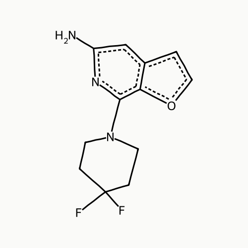 Nc1cc2ccoc2c(N2CCC(F)(F)CC2)n1